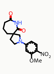 COc1cc(N2CCC3(CCCC(=O)NC3=O)C2)ccc1[N+](=O)[O-]